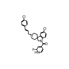 O=C(C1=CC(F)NC=C1)N1CC2(CCN(C/C=C/c3ccc(Cl)cc3)CC2)c2cc(Cl)ccc21